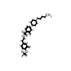 CCCCC[C@H]1CC[C@H](c2ccc(C(F)(F)OCCc3ccc(OC(F)(F)F)c(F)c3)c(F)c2)CC1